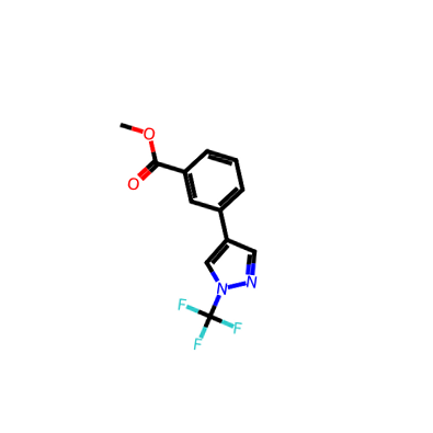 COC(=O)c1cccc(-c2cnn(C(F)(F)F)c2)c1